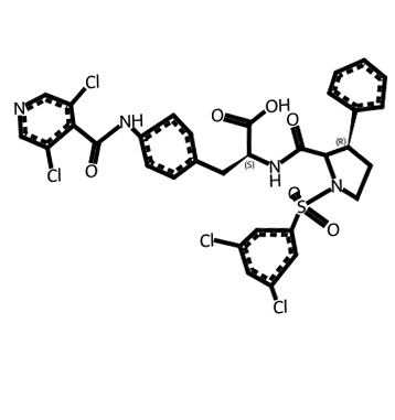 O=C(Nc1ccc(C[C@H](NC(=O)C2[C@@H](c3ccccc3)CCN2S(=O)(=O)c2cc(Cl)cc(Cl)c2)C(=O)O)cc1)c1c(Cl)cncc1Cl